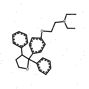 CCN(CC)CCOc1ccc(C2(c3ccccc3)OCCC2c2ccccc2)cc1